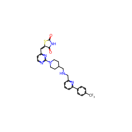 O=C1NC(=O)/C(=C\c2ccnc(N3CCC(CNCc4cccc(-c5ccc(C(F)(F)F)cc5)n4)CC3)n2)S1